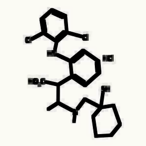 CC(C(C(=O)O)c1ccccc1Nc1c(Cl)cccc1Cl)N(C)CC1(S)CCCCC1.Cl